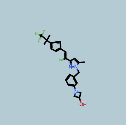 Cc1cc(C(F)=Cc2ccc(C(C)(C)C(F)(F)F)cc2)nn1Cc1cccc(N2CC(O)C2)c1